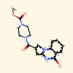 CCCCOC(=O)N1CCN(C(=O)c2cc3[nH]c(=O)c4ccccc4n3c2)CC1